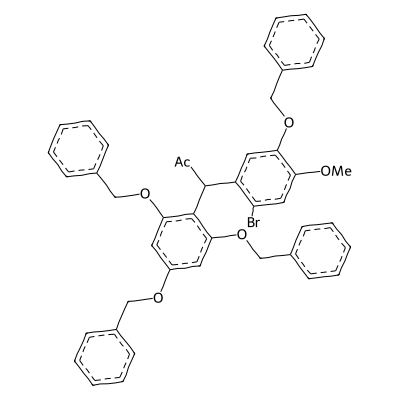 COc1cc(Br)c(C(C(C)=O)c2c(OCc3ccccc3)cc(OCc3ccccc3)cc2OCc2ccccc2)cc1OCc1ccccc1